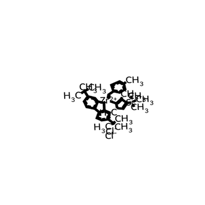 CC1=[C](/[Zr+2](=[CH]\c2ccc(C)cc2)[CH]2c3cc(C(C)(C)C)ccc3-c3ccc(C(C)(C)C)cc32)C(C)C=C1[Si](C)(C)C.[Cl-].[Cl-]